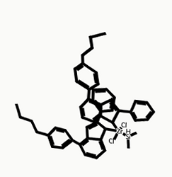 CCCCc1ccc(-c2cccc3c2C=C(c2ccccc2)[CH]3[Zr]([Cl])([Cl])([CH]2C(c3ccccc3)=Cc3c(-c4ccc(CCCC)cc4)cccc32)[SiH](C)C)cc1